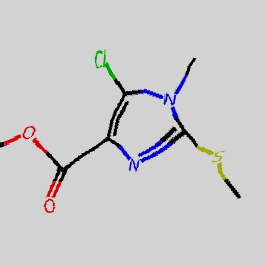 COC(=O)c1nc(SC)n(C)c1Cl